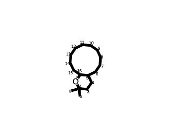 CC1(C)CCC2CCCCCCCCCCC2O1